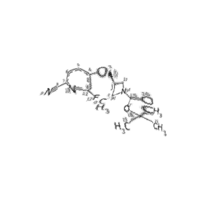 C[C@@H]1[C@@H](Oc2ccc(C#N)nc2F)CN1C(=O)OC(C)(C)C